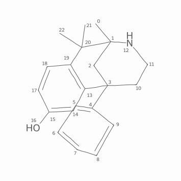 CC12CC(c3ccccc3)(CCN1)c1cc(O)ccc1C2(C)C